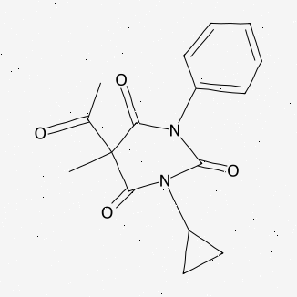 CC(=O)C1(C)C(=O)N(c2ccccc2)C(=O)N(C2CC2)C1=O